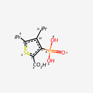 CC(C)c1sc(C(=O)O)c(P(=O)(O)O)c1C(C)C